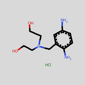 Cl.Nc1ccc(N)c(CN(CCO)CCO)c1